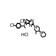 CC1CN(c2cnc3cnn(C(C)c4ccc(Cl)cc4Cl)c3n2)CCC1N1CCCCC1.Cl